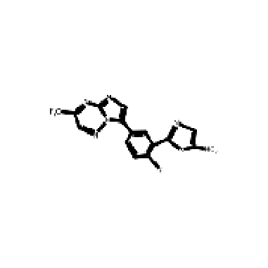 O=[N+]([O-])c1cnc(-c2cc(-c3cnc4nc(C(F)(F)F)cnn34)ccc2F)s1